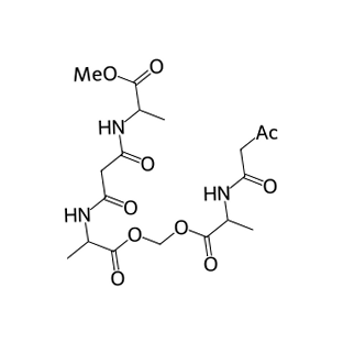 COC(=O)C(C)NC(=O)CC(=O)NC(C)C(=O)OCOC(=O)C(C)NC(=O)CC(C)=O